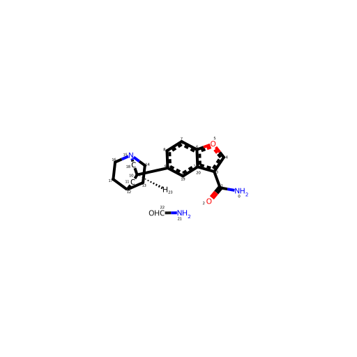 NC(=O)c1coc2ccc([C@H]3CC4CCN(CC4)C3)cc12.NC=O